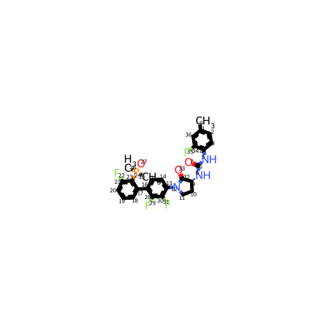 Cc1ccc(NC(=O)N[C@@H]2CCN(c3ccc(-c4cccc(F)c4P(C)(C)=O)c(F)c3F)C2=O)c(F)c1